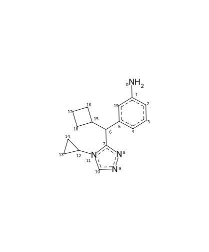 Nc1cccc(C(c2nncn2C2CC2)C2CCC2)c1